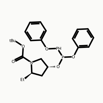 CC[C@@H]1C[C@@H](OP(Oc2ccccc2)POc2ccccc2)CN1C(=O)OC(C)(C)C